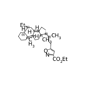 CCOC(=O)c1cc(CC[C@@H](C)[C@H]2CC[C@H]3[C@@H]4C[C@H](CC)[C@@H]5CCCC[C@]5(C)[C@H]4CC[C@]23C)on1